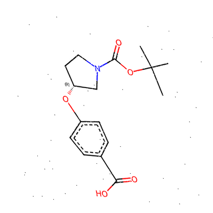 CC(C)(C)OC(=O)N1CC[C@@H](Oc2ccc(C(=O)O)cc2)C1